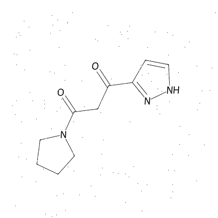 O=C(CC(=O)N1CCCC1)c1cc[nH]n1